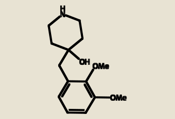 COc1cccc(CC2(O)CCNCC2)c1OC